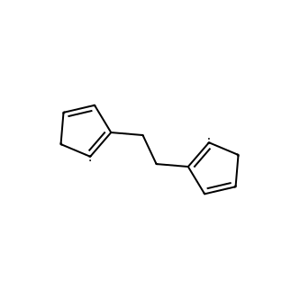 [C]1=C(CCC2=[C]CC=C2)C=CC1